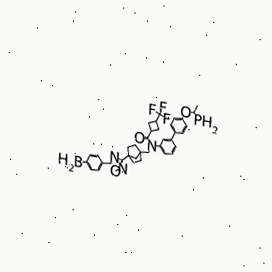 Bc1ccc(-c2nc(C34CCC(CN(C(=O)C5CC(C(F)(F)F)C5)c5cccc(-c6ccc(OC(C)P)cc6)c5)(CC3)C4)no2)cc1